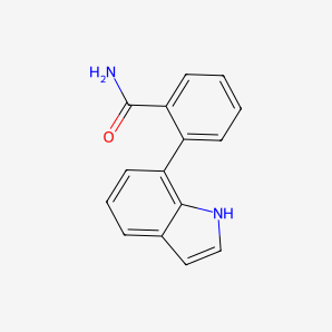 NC(=O)c1ccccc1-c1cccc2cc[nH]c12